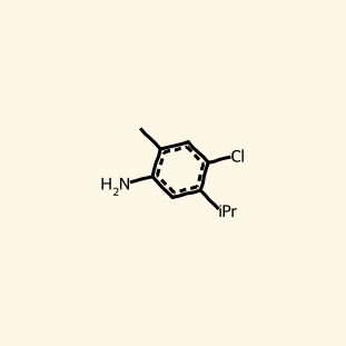 Cc1cc(Cl)c(C(C)C)cc1N